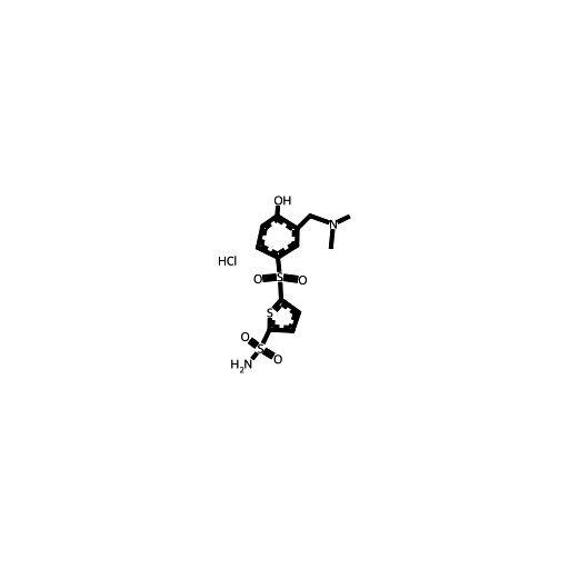 CN(C)Cc1cc(S(=O)(=O)c2ccc(S(N)(=O)=O)s2)ccc1O.Cl